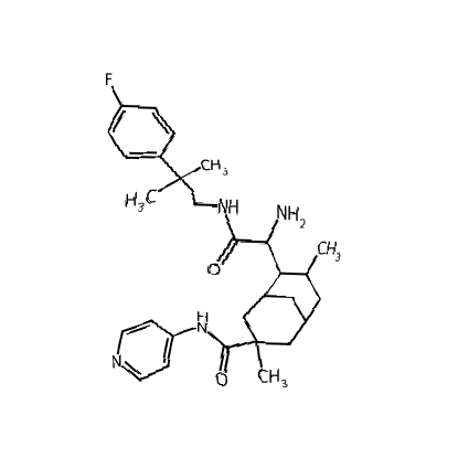 CC1CC2CC(CC(C)(C(=O)Nc3ccncc3)C2)C1C(N)C(=O)NCC(C)(C)c1ccc(F)cc1